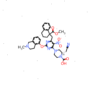 COC(=O)C1(Cc2nc(Oc3cccc4c3CCN(C)C4)nc(N3CCN(C(=O)O)[C@@H](CC#N)C3)c2[N+](=O)[O-])CCCc2ccccc21